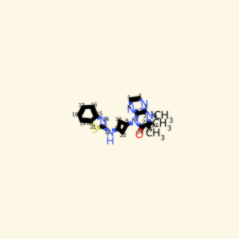 CN1c2nccnc2N(C2CC(Nc3nc4ccccc4s3)C2)C(=O)C1(C)C